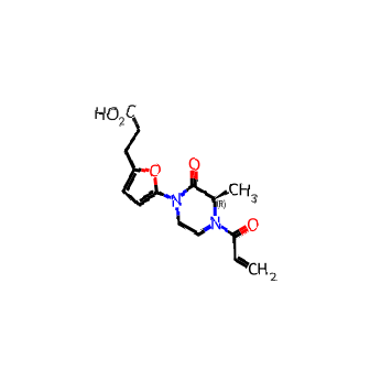 C=CC(=O)N1CCN(c2ccc(CCC(=O)O)o2)C(=O)[C@H]1C